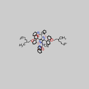 CC(C)CCCC(C)CCOc1cccc(C2=c3c(c(-c4cccc(OCCC(C)CCCC(C)C)c4)n(B(c4ccccc4)c4ccccc4)/c3=C(/C#N)c3nc4ccccc4o3)C(C(C#N)c3nc4ccccc4o3)N2B(c2ccccc2)c2ccccc2)c1